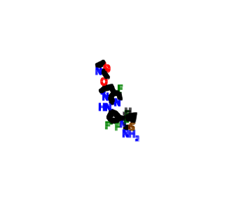 C[C@@]1(c2cc(Nc3ncc(F)c4cc(OCc5ncco5)cnc34)cc(F)c2F)N=C(N)S[C@@]2(C(F)F)C[C@@H]12